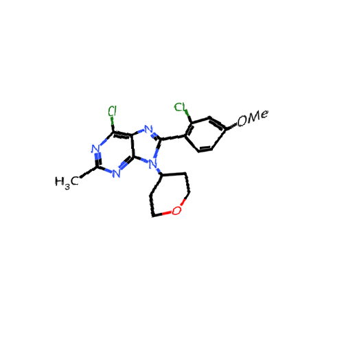 COc1ccc(-c2nc3c(Cl)nc(C)nc3n2C2CCOCC2)c(Cl)c1